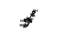 CC(C)C[C@@H](/C=C/CC(=O)N1CCC[C@H]1C(=O)N[C@@H](CCCNC(=O)OC1CC(C)(C)N(O)C(C)(C)C1)C(=O)NC1CC(C)(C)N(O)C(C)(C)C1)NC(=O)OC(C)(C)C